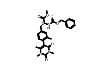 COC(=O)[C@H](Cc1ccc(-c2c(C)n(C)c(=O)n(C)c2=O)c(C)c1)NC(=O)OCc1ccccc1